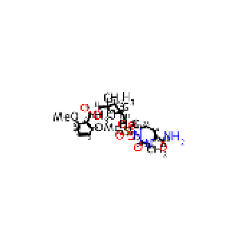 COc1cccc(OC)c1C(=O)OCC(C)(C)CC(C)(C)COS(=O)(=O)ON1C(=O)N(C)[C@H](C(N)=O)CC[C@@H]1C